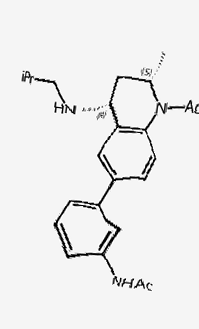 CC(=O)Nc1cccc(-c2ccc3c(c2)[C@H](NCC(C)C)C[C@H](C)N3C(C)=O)c1